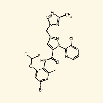 Cc1cc(Br)cc(OC(F)F)c1NC(=O)c1cc(Cn2nnc(C(F)(F)F)n2)nn1-c1ncccc1Cl